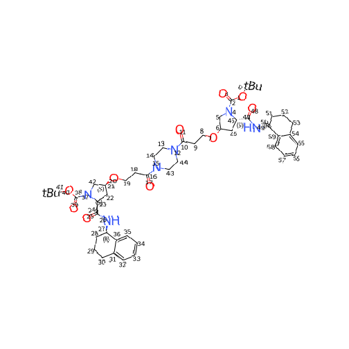 CC(C)(C)OC(=O)N1CC(OCCC(=O)N2CCN(C(=O)CCO[C@H]3C[C@@H](C(=O)N[C@@H]4CCCc5ccccc54)N(C(=O)OC(C)(C)C)C3)CC2)C[C@H]1C(=O)N[C@@H]1CCCc2ccccc21